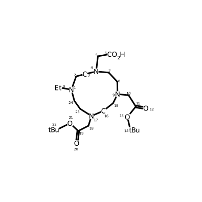 CCN1CCN(CC(=O)O)CCN(CC(=O)OC(C)(C)C)CCN(CC(=O)OC(C)(C)C)CC1